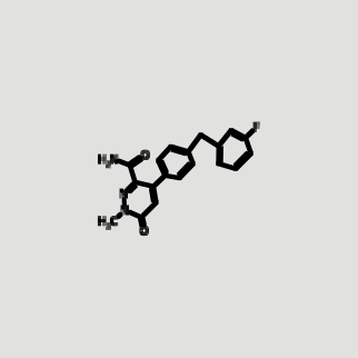 Cn1nc(C(N)=O)c(-c2ccc(Cc3cccc(F)c3)cc2)cc1=O